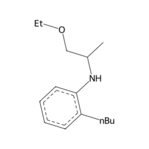 CCCCc1ccccc1NC(C)COCC